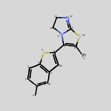 Cc1ccc2sc(C3=C(C(C)C)SC4=NCCN43)cc2c1